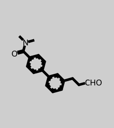 CN(C)C(=O)c1ccc(-c2cccc(CCC=O)c2)cc1